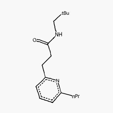 CCCc1cccc(CCC(=O)NCC(C)(C)C)n1